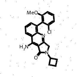 COc1cccc(Cl)c1-c1cccc2c(N)c3c(nc12)CN(C1CCC1)C3=O